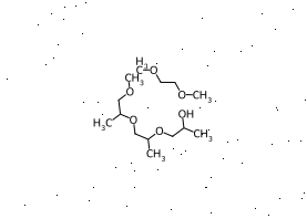 COCC(C)OCC(C)OCC(C)O.COCCOC